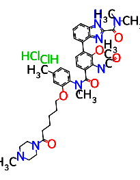 COc1c(-c2cccc3[nH]c(C(=O)N(C)C)nc23)ccc(C(=O)N(C)c2ccc(C)cc2OCCCCCC(=O)N2CCN(C)CC2)c1N=C=O.Cl.Cl